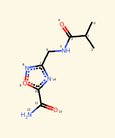 CC(C)C(=O)NCc1noc(C(N)=O)n1